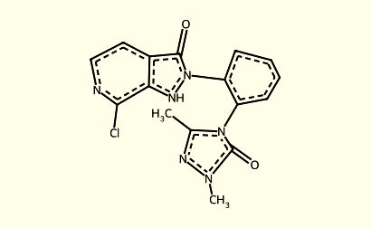 Cc1nn(C)c(=O)n1-c1ccccc1-n1[nH]c2c(Cl)nccc2c1=O